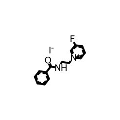 O=C(NCC[n+]1cccc(F)c1)c1ccccc1.[I-]